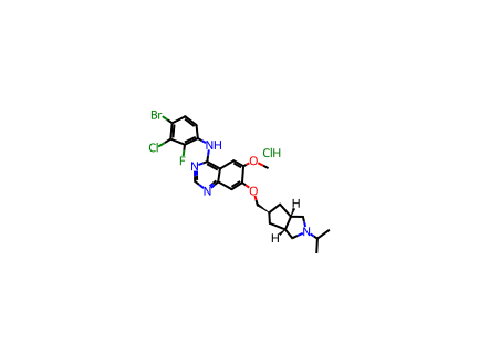 COc1cc2c(Nc3ccc(Br)c(Cl)c3F)ncnc2cc1OC[C@H]1C[C@@H]2CN(C(C)C)C[C@@H]2C1.Cl